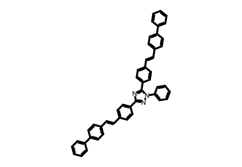 C(=Cc1ccc(-c2nc(-c3ccc(C=Cc4ccc(-c5ccccc5)cc4)cc3)n(-c3ccccc3)n2)cc1)c1ccc(-c2ccccc2)cc1